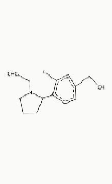 O=CCN1CCCC1c1ccc(CO)cc1F